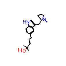 CN1CCC[C@@H]1Cc1c[nH]c2ccc(CCCC(C)(C)O)cc12